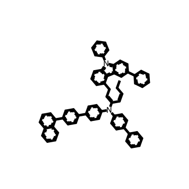 CC/C=C\C(=C/Cc1cccc2c1c1cc(-c3ccccc3)ccc1n2-c1ccccc1)N(c1ccc(-c2ccccc2)cc1)c1ccc(-c2ccc(-c3cccc4ccccc34)cc2)cc1